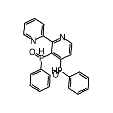 O=[PH](c1ccccc1)c1ccnc(-c2ccccn2)c1[PH](=O)c1ccccc1